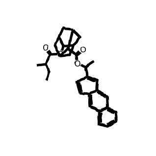 CCC(C)C(=O)OC1C2CC3CC1CC(C2)C3C(=O)OC(C)c1ccc2cc3ccccc3cc2c1